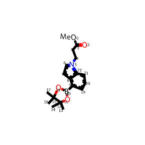 COC(=O)CCn1ccc2c(B3OC(C)(C)C(C)(C)O3)cccc21